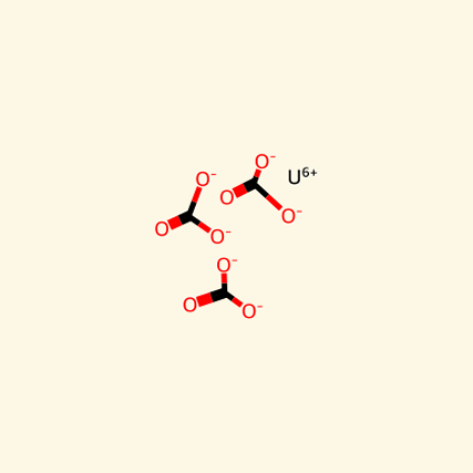 O=C([O-])[O-].O=C([O-])[O-].O=C([O-])[O-].[U+6]